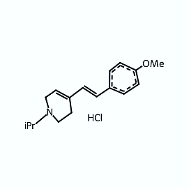 COc1ccc(/C=C/C2=CCN(C(C)C)CC2)cc1.Cl